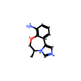 C[C@H]1COc2c(N)cccc2-c2cncn21